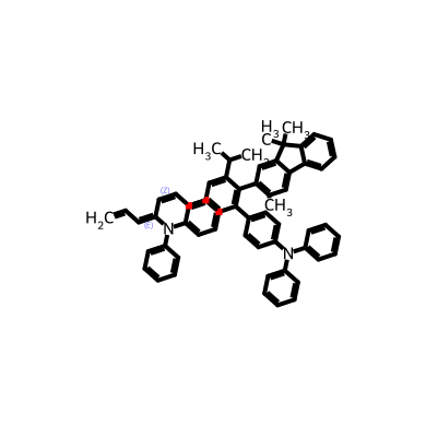 C=C/C=C(\C=C/Cc1cc(-c2ccc(N(c3ccccc3)c3ccccc3)cc2)c(-c2cc3c(cc2C)-c2ccccc2C3(C)C)c(C(C)C)c1)N(c1ccccc1)c1ccccc1